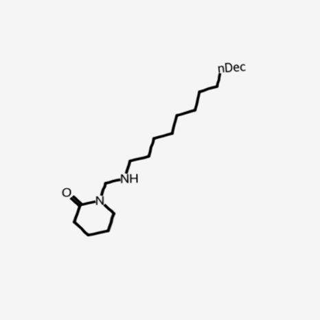 CCCCCCCCCCCCCCCCCCNCN1CCCCC1=O